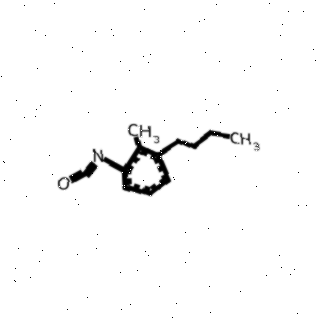 CCCCc1cccc(N=C=O)c1C